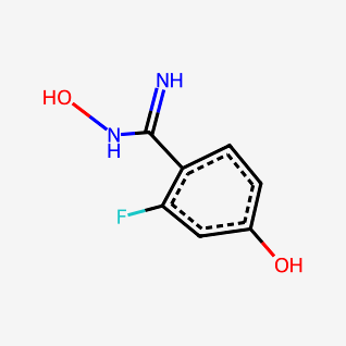 N=C(NO)c1ccc(O)cc1F